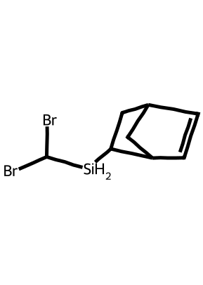 BrC(Br)[SiH2]C1CC2C=CC1C2